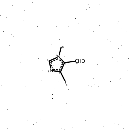 Cn1cnc(I)c1C=O